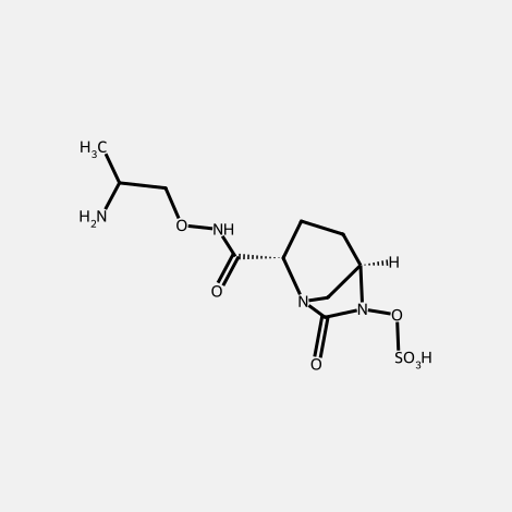 CC(N)CONC(=O)[C@@H]1CC[C@@H]2CN1C(=O)N2OS(=O)(=O)O